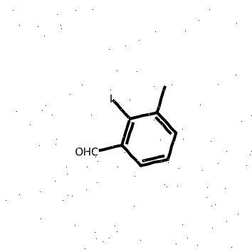 Cc1cccc(C=O)c1I